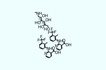 CNC[C@H](O)[C@@H](O)[C@H](O)[C@H](O)CO.Cc1c(Nc2ncccc2C(=O)O)cccc1C(F)(F)F.Cc1c(Nc2ncccc2C(=O)O)cccc1C(F)(F)F